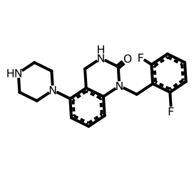 O=C1NCc2c(N3CCNCC3)cccc2N1Cc1c(F)cccc1F